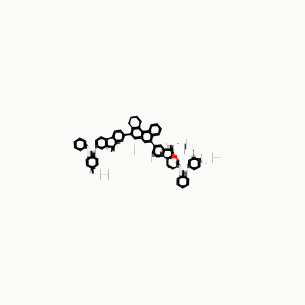 C/C=C(\C=C/C1=CC(C)(C)c2cc(-c3cc4cc(-c5ccc6c(c5)C(C)(C)c5cc(N(c7ccccc7)c7ccc(C)cc7)ccc5-6)c5c(c4c4ccccc34)C=CCC5)ccc21)N(c1ccccc1)c1ccc(C)cc1